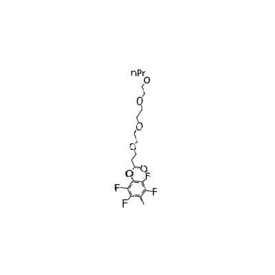 CCCOCCOCCOCCOCCC(=O)Oc1c(F)c(F)c(C)c(F)c1F